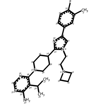 Cc1cc(-c2cn(CCN3CCC3)c(C3CCN(c4ncnc(N)c4C(C)C)CC3)n2)ccc1F